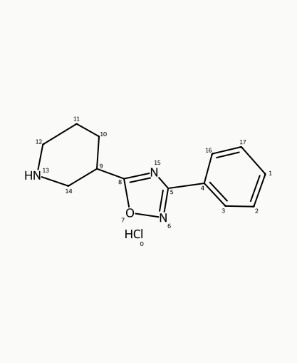 Cl.c1ccc(-c2noc(C3CCCNC3)n2)cc1